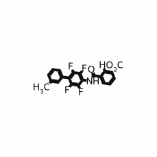 Cc1cccc(-c2c(F)c(F)c(NC(=O)c3ccccc3C(=O)O)c(F)c2F)c1